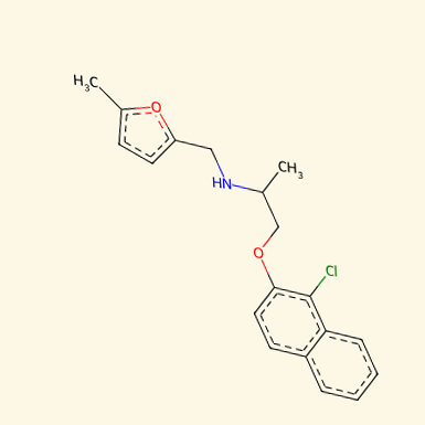 Cc1ccc(CNC(C)COc2ccc3ccccc3c2Cl)o1